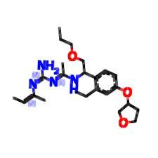 C\C=C(C)/N=C(N)\N=C(/C)NC(COCCC)c1ccc(OC2CCOC2)cc1CC